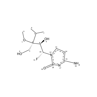 CO[C@@](CO)(C(C)C)[C@@H](O)[C@@H](F)n1ccc(N)nc1=O